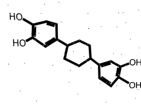 Oc1ccc(C2CCC(c3ccc(O)c(O)c3)CC2)cc1O